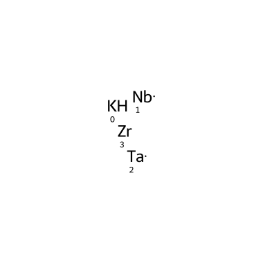 [KH].[Nb].[Ta].[Zr]